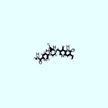 CCc1cc2ncc(CN3CCN(c4ccc(C(=O)NC)nc4)[C@H]4[C@@H](C)[C@H]43)c(C)c2[nH]c1=O